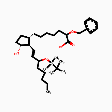 CCCCCC(/C=C/[C@@H]1[C@@H](CCCCCC(OCc2ccccc2)C(=O)O)CC[C@H]1O)O[Si](C)(C)C(C)(C)C